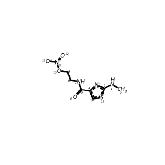 CNc1nc(C(=O)NCCO[N+](=O)[O-])cs1